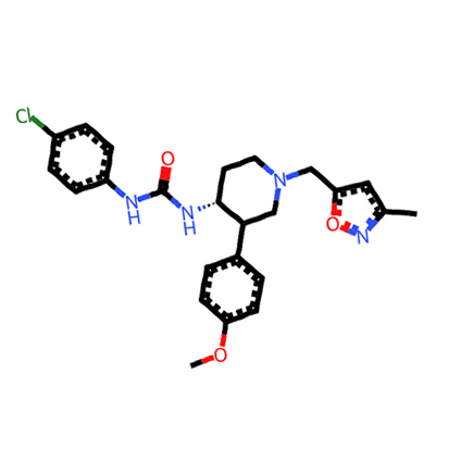 COc1ccc(C2CN(Cc3cc(C)no3)CC[C@H]2NC(=O)Nc2ccc(Cl)cc2)cc1